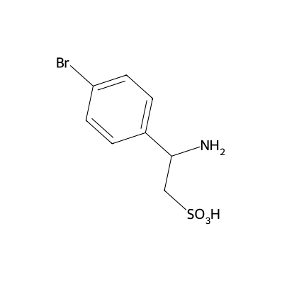 NC(CS(=O)(=O)O)c1ccc(Br)cc1